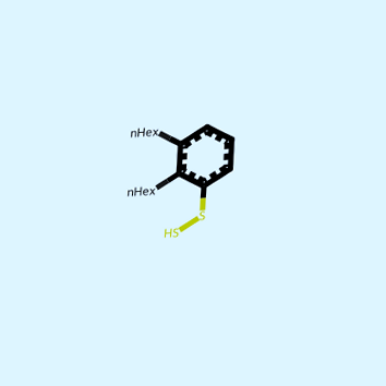 CCCCCCc1cccc(SS)c1CCCCCC